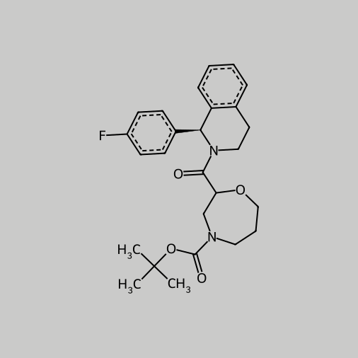 CC(C)(C)OC(=O)N1CCCOC(C(=O)N2CCc3ccccc3[C@@H]2c2ccc(F)cc2)C1